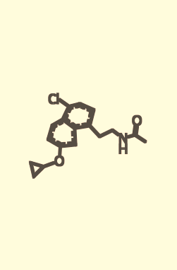 CC(=O)NCCc1ccc(Cl)c2ccc(OC3CC3)cc12